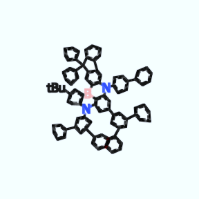 CC(C)(C)c1ccc2c(c1)B1c3cc4c(cc3N(c3ccc(-c5ccccc5)cc3)c3cc(-c5cc(-c6ccccc6)cc(-c6ccccc6)c5)cc(c31)N2c1cc(-c2ccccc2)cc(-c2ccccc2)c1)-c1ccccc1C4(c1ccccc1)c1ccccc1